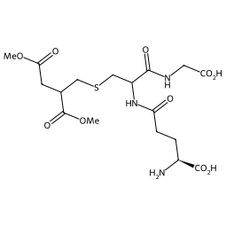 COC(=O)CC(CSCC(NC(=O)CC[C@H](N)C(=O)O)C(=O)NCC(=O)O)C(=O)OC